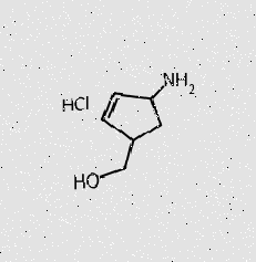 Cl.NC1C=CC(CO)C1